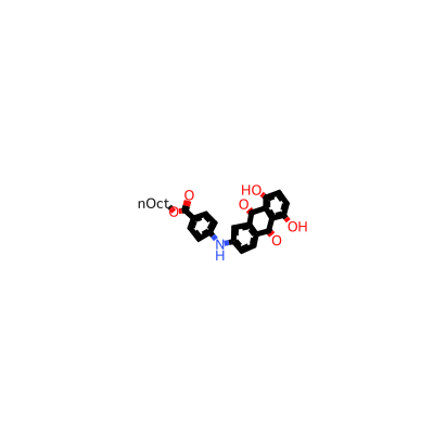 CCCCCCCCOC(=O)c1ccc(Nc2ccc3c(c2)C(=O)c2c(O)ccc(O)c2C3=O)cc1